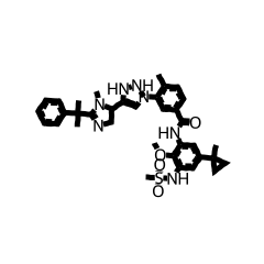 COc1c(NC(=O)c2ccc(C)c(N3C=C(C4CN=C(C(C)(C)c5ccccc5)N4C)NN3)c2)cc(C2(C)CC2)cc1NS(C)(=O)=O